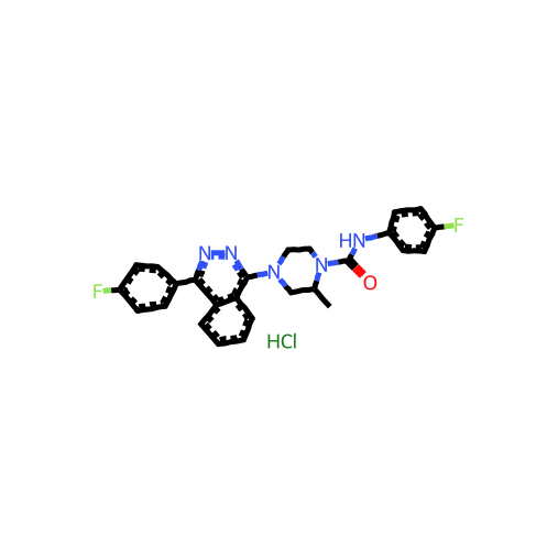 CC1CN(c2nnc(-c3ccc(F)cc3)c3ccccc23)CCN1C(=O)Nc1ccc(F)cc1.Cl